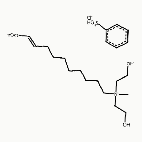 CCCCCCCCC=CCCCCCCCC[N+](C)(CCO)CCO.O=S(=O)(O)c1ccccc1.[Cl-]